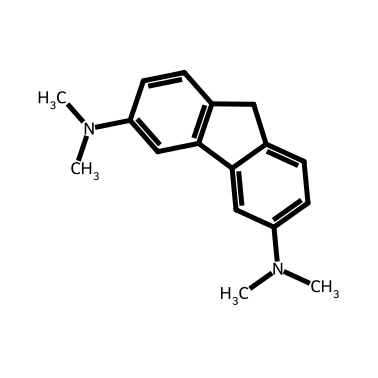 CN(C)c1ccc2c(c1)-c1cc(N(C)C)ccc1C2